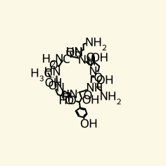 CC(O)[C@@H]1NC(=O)[C@@H](N)CC(O)C(NCCN)NC(=O)[C@@H]2C(O)CCN2C(=O)[C@H](C(O)CCN)NC(=O)[C@H]([C@H](O)C(O)c2ccc(O)cc2)NC(=O)[C@@H]2CCCN2C1=O